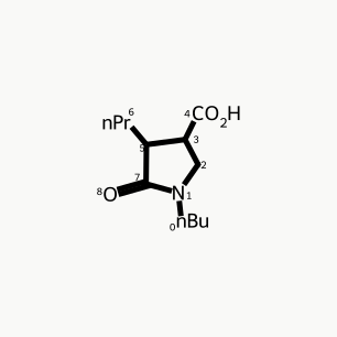 CCCCN1CC(C(=O)O)C(CCC)C1=O